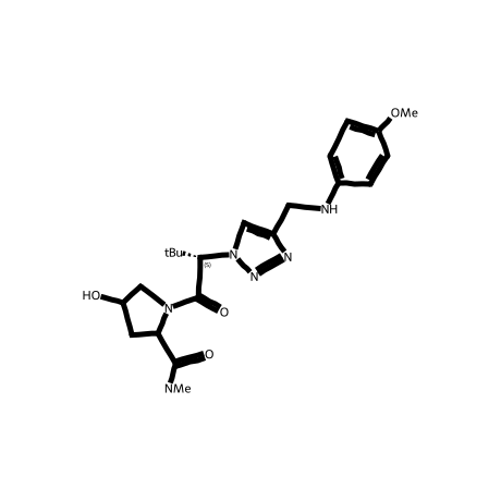 CNC(=O)C1CC(O)CN1C(=O)[C@@H](n1cc(CNc2ccc(OC)cc2)nn1)C(C)(C)C